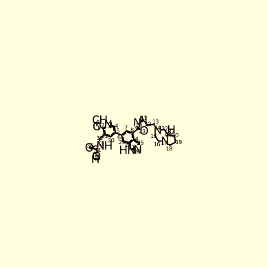 COc1ncc(-c2cc(-c3nnc(CN4CCN5CCC[C@H]5C4)o3)c3cn[nH]c3c2)cc1CN[SH](=O)=O